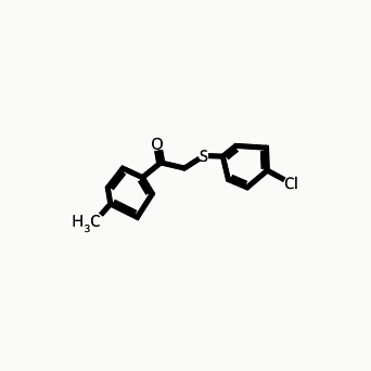 Cc1ccc(C(=O)CSc2ccc(Cl)cc2)cc1